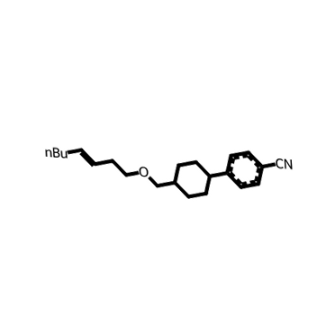 CCCC/C=C/CCOCC1CCC(c2ccc(C#N)cc2)CC1